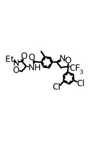 CCN1OC[C@H](NC(=O)c2ccc(C3=NO[C@@](c4cc(Cl)cc(Cl)c4)(C(F)(F)F)C3)cc2C)C1=O